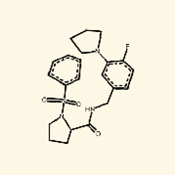 O=C(NCc1ccc(F)c(N2CCCC2)c1)C1CCCN1S(=O)(=O)c1ccccc1